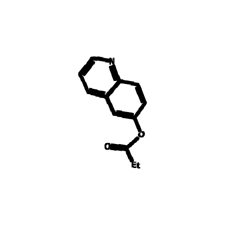 CCC(=O)Oc1ccc2ncccc2c1